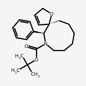 CC(C)(C)OC(=O)N1CCCCCC[C@@]2(C=CCO2)[C@@H]1c1ccccc1